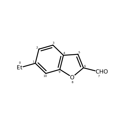 CCc1ccc2cc(C=O)oc2c1